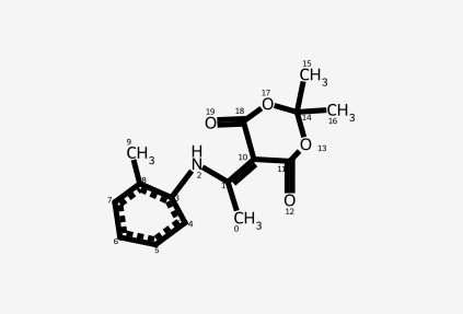 CC(Nc1ccccc1C)=C1C(=O)OC(C)(C)OC1=O